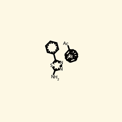 CC(=O)[C]12[CH]3[CH]4[CH]5[CH]1[Fe]45321678[CH]2[CH]1[CH]6[CH]7[CH]28.Nc1nnc(-c2ccccc2)s1